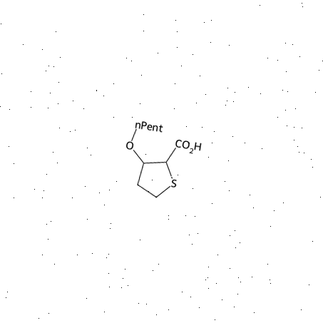 CCCCCOC1CCSC1C(=O)O